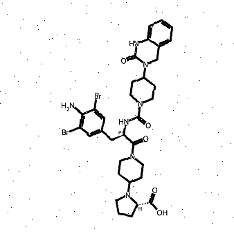 Nc1c(Br)cc(C[C@@H](NC(=O)N2CCC(N3Cc4ccccc4NC3=O)CC2)C(=O)N2CCC(N3CCC[C@H]3C(=O)O)CC2)cc1Br